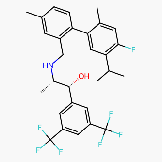 Cc1ccc(-c2cc(C(C)C)c(F)cc2C)c(CN[C@@H](C)[C@H](O)c2cc(C(F)(F)F)cc(C(F)(F)F)c2)c1